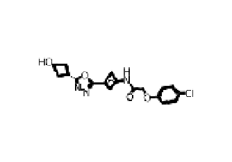 O=C(COc1ccc(Cl)cc1)NC12CC(c3nnc([C@H]4C[C@@H](O)C4)o3)(C1)C2